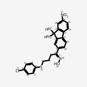 CCCC1(CCC)c2cc(/C(CCCSc3ccc(Cl)cc3)=N/O)ccc2-c2ccc([N+](=O)[O-])cc21